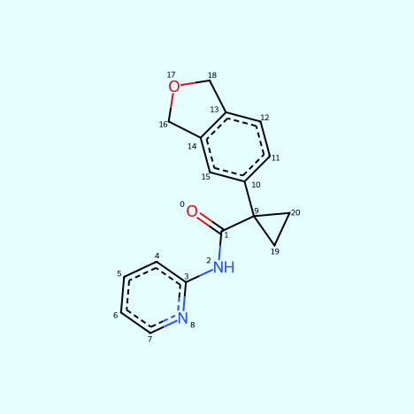 O=C(Nc1ccccn1)C1(c2ccc3c(c2)COC3)CC1